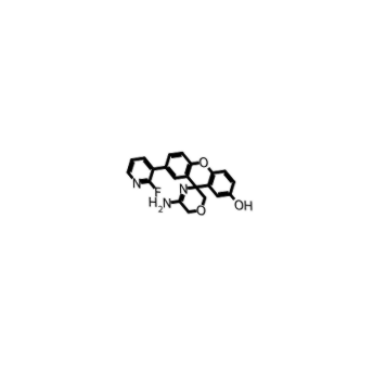 NC1=NC2(COC1)c1cc(O)ccc1Oc1ccc(-c3cccnc3F)cc12